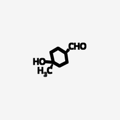 C[C@]1(O)CC[C@@H](C=O)CC1